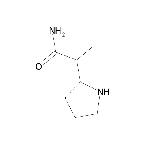 CC(C(N)=O)C1CCCN1